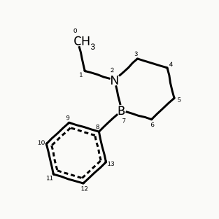 CCN1CCCCB1c1ccccc1